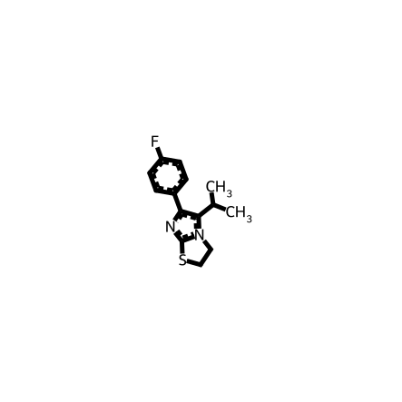 CC(C)c1c(-c2ccc(F)cc2)nc2n1CCS2